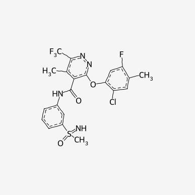 Cc1cc(Cl)c(Oc2nnc(C(F)(F)F)c(C)c2C(=O)Nc2cccc(S(C)(=N)=O)c2)cc1F